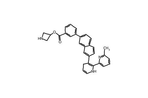 Cc1cccc(C2=C(c3ccc4ccc(-c5cccc(C(=O)OC6CNC6)c5)cc4c3)CC=CN2)n1